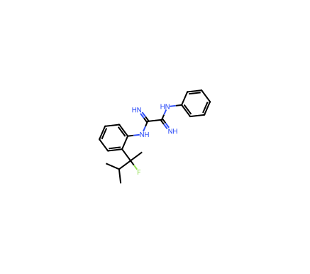 CC(C)C(C)(F)c1ccccc1NC(=N)C(=N)Nc1ccccc1